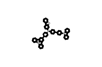 C1=CC(c2cc3c4ccccc4n4c5ccccc5c(c2)c34)CC=C1N(c1ccc(-c2ccc(-n3c4ccccc4c4ccccc43)cc2)cc1)c1ccc2c(c1)oc1ccccc12